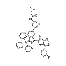 CC(C)CC(=O)Nc1cncc(-c2ccc3c(c2)c(-c2nc4c(-c5cccc(F)c5)ccnc4[nH]2)nn3C(c2ccccc2)(c2ccccc2)c2ccccc2)c1